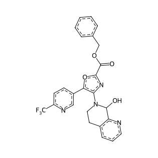 O=C(OCc1ccccc1)c1nc(N2CCc3cccnc3C2O)c(-c2ccc(C(F)(F)F)nc2)o1